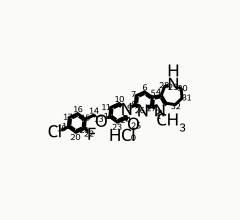 Cl.Cn1c2c(c3ccc(-n4ccc(OCc5ccc(Cl)cc5F)cc4=O)nc31)CNCCC2